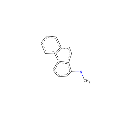 C[N]c1cccc2c1ccc1ccccc12